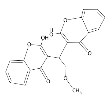 COCC(c1c(O)oc2ccccc2c1=O)c1c(O)oc2ccccc2c1=O